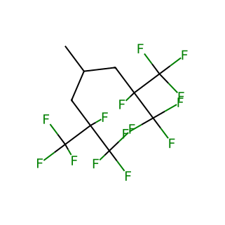 CC(CC(F)(C(F)(F)F)C(F)(F)F)CC(F)(C(F)(F)F)C(F)(F)F